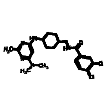 Cc1nc(NC2CCC(CNC(=O)c3ccc(Cl)c(Cl)c3)CC2)cc(N(C)C)n1